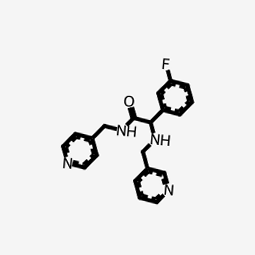 O=C(NCc1ccncc1)C(NCc1cccnc1)c1cccc(F)c1